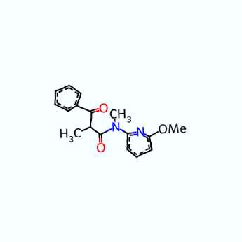 COc1cccc(N(C)C(=O)C(C)C(=O)c2ccccc2)n1